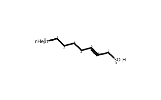 CCCCCCCCCCCC=CCS(=O)(=O)O